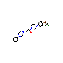 O=C(CCCN1CCN(c2ccccc2)CC1)N1CCCN(c2ccc(SC(F)(F)F)cc2)CC1